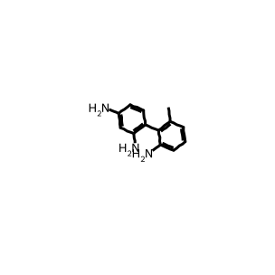 Cc1cccc(N)c1-c1ccc(N)cc1N